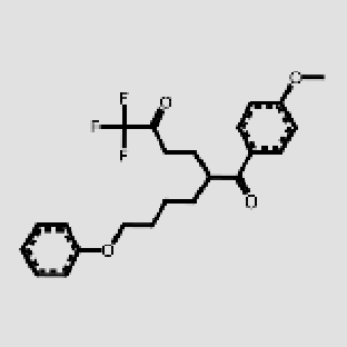 COc1ccc(C(=O)C(CCCCOc2ccccc2)CCC(=O)C(F)(F)F)cc1